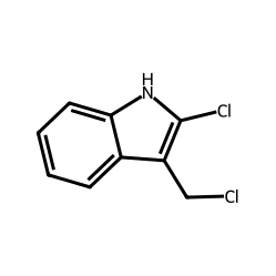 ClCc1c(Cl)[nH]c2ccccc12